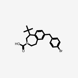 CC(C)(C)C1CN(C(=O)O)CCc2cc(Cc3ccc(Br)cc3)ccc21